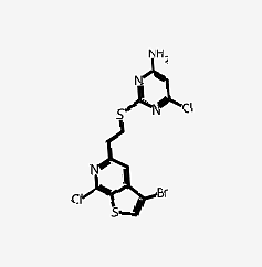 Nc1cc(Cl)nc(SCCc2cc3c(Br)csc3c(Cl)n2)n1